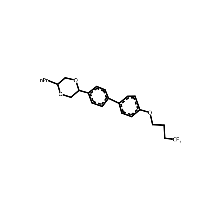 CCCC1COC(c2ccc(-c3ccc(OCCCC(F)(F)F)cc3)cc2)CO1